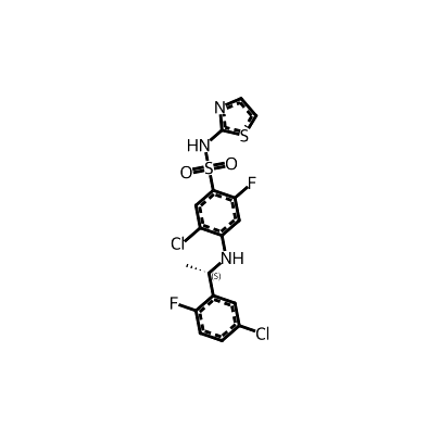 C[C@H](Nc1cc(F)c(S(=O)(=O)Nc2nccs2)cc1Cl)c1cc(Cl)ccc1F